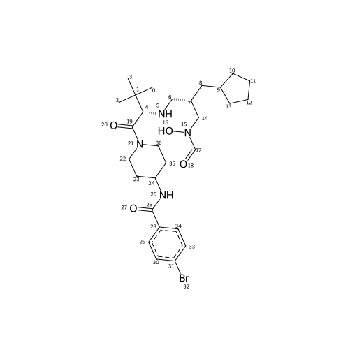 CC(C)(C)[C@H](NC[C@H](CC1CCCC1)CN(O)C=O)C(=O)N1CCC(NC(=O)c2ccc(Br)cc2)CC1